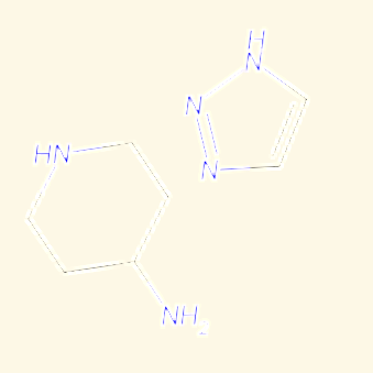 NC1CCNCC1.c1c[nH]nn1